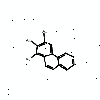 CC(=O)c1cc2c(ccc3ccccc32)c(C(C)=O)c1C(C)=O